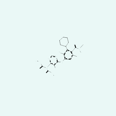 Cc1cc(Nc2ncnc(N(C(=O)OC(C)(C)C)C(=O)OC(C)(C)C)c2C)c([N+](=O)[O-])c(C2CCCCC2)c1C(=O)N(C)C